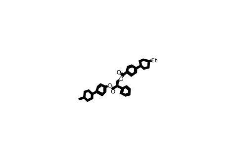 CCC1CCC(c2ccc(C(=O)OCC(C(=O)Oc3ccc(C4CCC(C)CC4)cc3)c3ccccc3)cc2)CC1